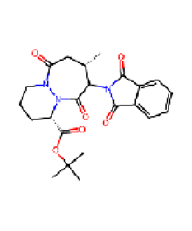 C[C@H]1CC(=O)N2CCC[C@@H](C(=O)OC(C)(C)C)N2C(=O)C1N1C(=O)c2ccccc2C1=O